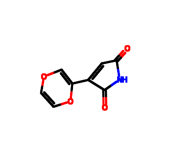 O=C1C=C(C2=COC=CO2)C(=O)N1